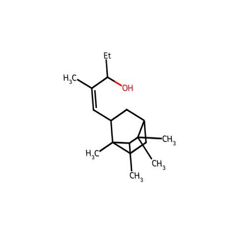 CCC(O)C(C)=CC1CC2CCC1(C)C(C)C2(C)C